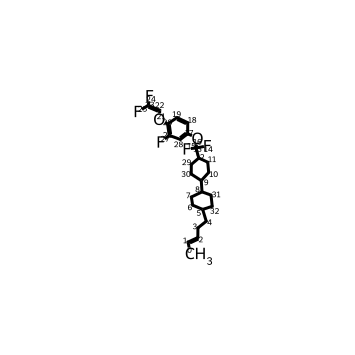 C/C=C/CCC1CCC(C2CCC(C(F)(F)Oc3ccc(OC=C(F)F)c(F)c3)CC2)CC1